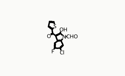 O=Cn1c(O)c(C(=O)c2cccs2)c2cc(F)c(Cl)cc21